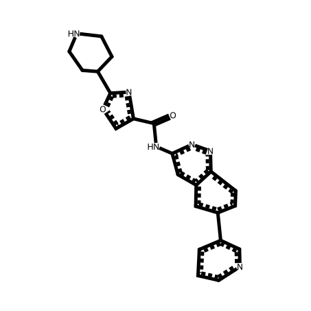 O=C(Nc1cc2cc(-c3cccnc3)ccc2nn1)c1coc(C2CCNCC2)n1